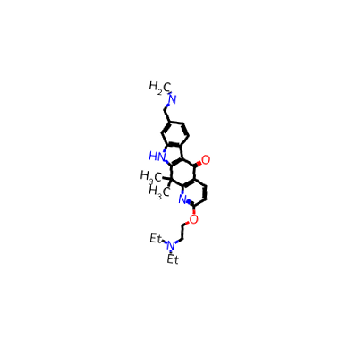 C=NCc1ccc2c3c([nH]c2c1)C(C)(C)c1nc(OCCN(CC)CC)ccc1C3=O